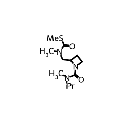 CSC(=O)N(C)CC1CCN1C(=O)N(C)C(C)C